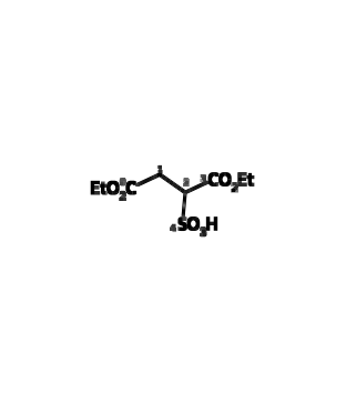 CCOC(=O)CC(C(=O)OCC)S(=O)(=O)O